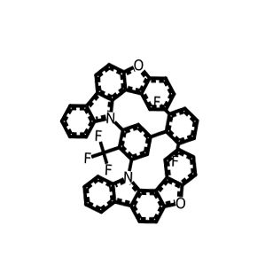 Fc1cccc(F)c1-c1cc(-n2c3ccccc3c3ccc4oc5ccccc5c4c32)c(C(F)(F)F)c(-n2c3ccccc3c3ccc4oc5ccccc5c4c32)c1